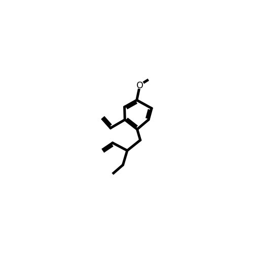 C=Cc1cc(OC)ccc1CC(C=C)CC